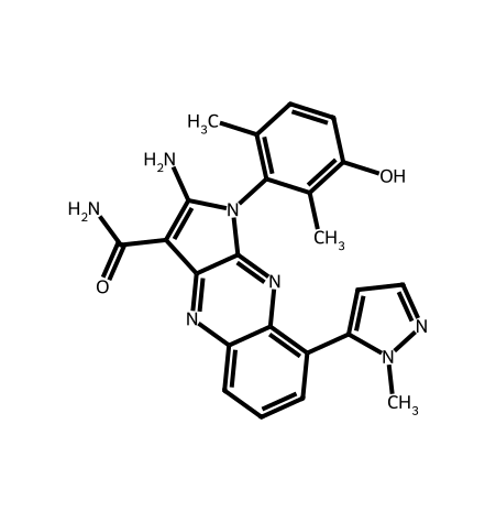 Cc1ccc(O)c(C)c1-n1c(N)c(C(N)=O)c2nc3cccc(-c4ccnn4C)c3nc21